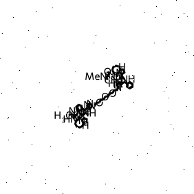 CN[C@@H](C)C(=O)N[C@H]1CCCC[C@H]2CCC(C(=O)N[C@@H](c3ccccc3)c3cn(CCOCCOCCOCCn4cc([C@@H](NC(=O)[C@@H]5CC[C@@H]6CCCC[C@H](NC(=O)[C@H](C)NC)C(=O)N65)c5ccccc5)nn4)nn3)N2C1=O